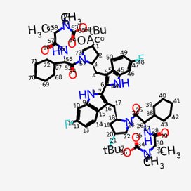 CC(=O)O[C@H]1C[C@@H](Cc2c(-c3[nH]c4cc(F)ccc4c3C[C@@H]3C[C@H](F)CN3C(=O)[C@@H](NC(=O)[C@H](C)N(C)C(=O)OC(C)(C)C)C3CCCCC3)[nH]c3cc(F)ccc23)N(C(=O)[C@@H](NC(=O)[C@H](C)N(C)C(=O)OC(C)(C)C)C2CCCCC2)C1